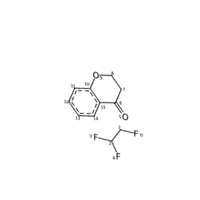 FCC(F)F.O=C1CCOc2ccccc21